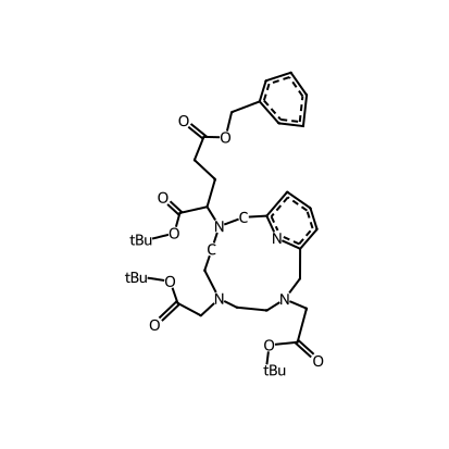 CC(C)(C)OC(=O)CN1CCN(CC(=O)OC(C)(C)C)Cc2cccc(n2)CN(C(CCC(=O)OCc2ccccc2)C(=O)OC(C)(C)C)CC1